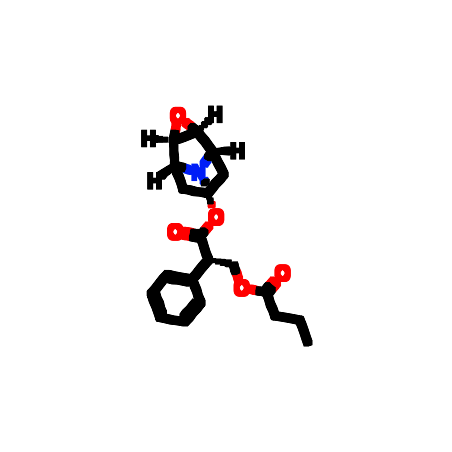 CCCC(=O)OC[C@@H](C(=O)O[C@@H]1C[C@@H]2[C@H]3O[C@H]3[C@H](C1)N2C)c1ccccc1